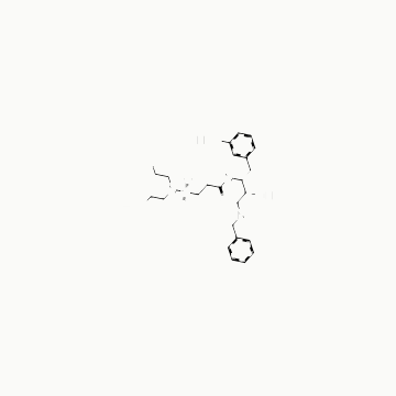 CCCN(CCC)S(=O)(=O)CCC(=O)N[C@@H](Cc1cccc(C)c1)[C@@H](O)CNCc1ccccc1